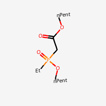 CCCCCOC(=O)CP(=O)(CC)OCCCCC